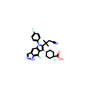 CC(C)(CC#N)c1c([C@H]2CC[C@](F)(C(=O)O)CC2)c2c(F)c3[nH]ncc3cc2n1-c1ccc(F)cc1